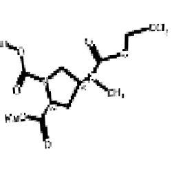 COC(=O)[C@@H]1C[C@H](N(C)C(=O)OCC(Cl)(Cl)Cl)CN1C(=O)OC(C)(C)C